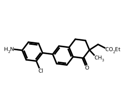 CCOC(=O)CC1(C)CCc2cc(-c3ccc(N)cc3Cl)ccc2C1=O